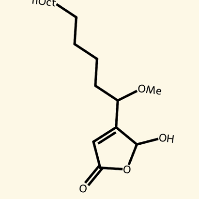 CCCCCCCCCCCCC(OC)C1=CC(=O)OC1O